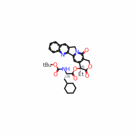 CC[C@@]1(OC(=O)[C@H](CC2CCCCC2)NC(=O)OC(C)(C)C)C(=O)OCc2c1cc1n(c2=O)Cc2cc3ccccc3nc2-1